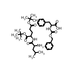 CC(C)CC(N)C(=O)NC(CCC(=O)OC(C)(C)C)C(=O)OC(C)(C)C.O=C(NC(Cc1ccccc1)C(=O)O)OCc1ccccc1